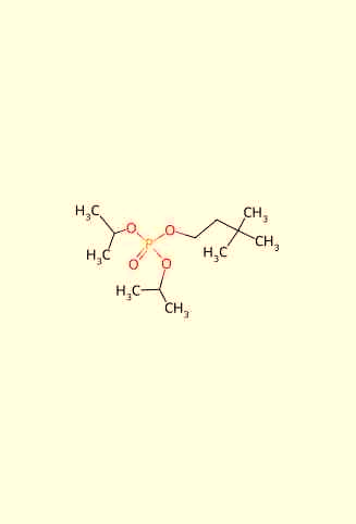 CC(C)OP(=O)(OCCC(C)(C)C)OC(C)C